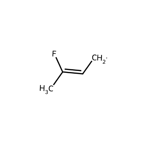 [CH2]C=C(C)F